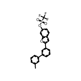 Cc1cccc(-c2cccc(-c3cc4ccc(OS(=O)(=O)C(F)(F)F)cc4o3)c2)c1